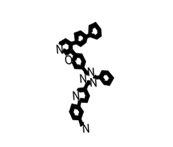 N#Cc1cccc(-c2ccc(-c3nc(-c4ccccc4)nc(-c4ccc5c(c4)oc4nccc(-c6ccc(-c7ccccc7)cc6)c45)n3)cn2)c1